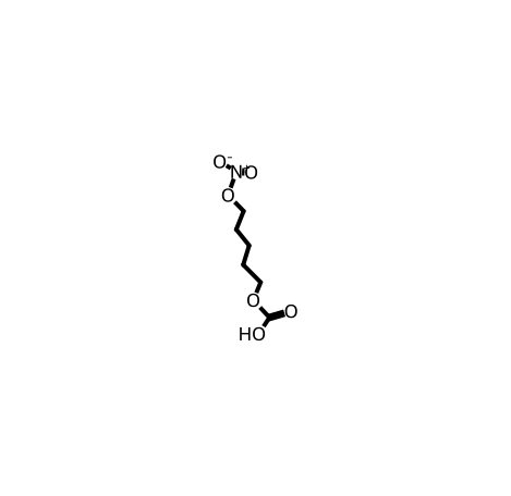 O=C(O)OCCCCCO[N+](=O)[O-]